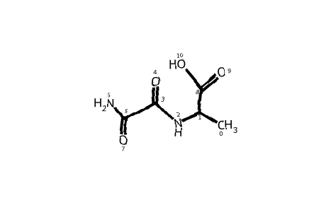 CC(NC(=O)C(N)=O)C(=O)O